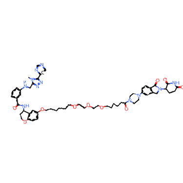 Cn1c(CNc2cccc(C(=O)NC3CCOc4ccc(OCCCCCCOCCOCCOCCCCCC(=O)N5CCN(c6ccc7c(c6)CN(C6CCC(=O)NC6=O)C7=O)CC5)cc43)c2)nnc1-c1ccncn1